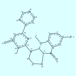 COc1ccc(F)cc1C(=O)C1CN(c2nc(-c3ccncn3)cc(=O)n2C)CCO1